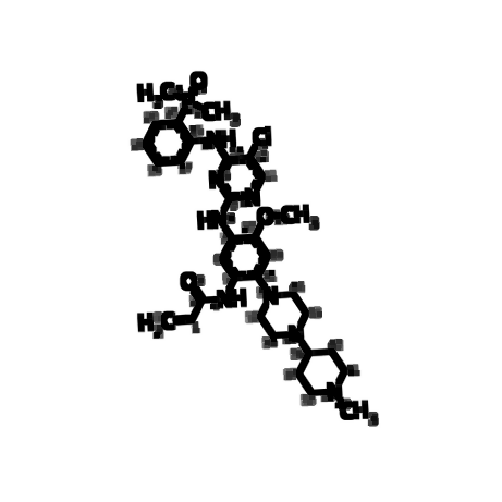 C=CC(=O)Nc1cc(Nc2ncc(Cl)c(Nc3ccccc3P(C)(C)=O)n2)c(OC)cc1N1CCN(C2CCN(C)CC2)CC1